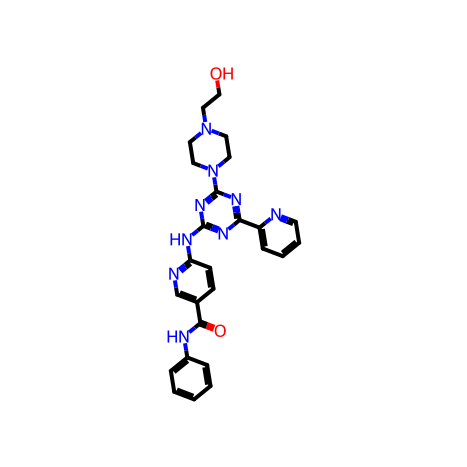 O=C(Nc1ccccc1)c1ccc(Nc2nc(-c3ccccn3)nc(N3CCN(CCO)CC3)n2)nc1